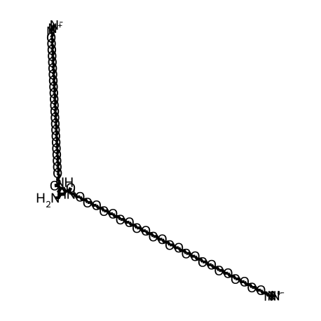 [N-]=[N+]=NCCOCCOCCOCCOCCOCCOCCOCCOCCOCCOCCOCCOCCOCCOCCOCCOCCOCCOCCOCCOCCOCCOCCOCCNC(=O)c1cc(CN)cc(C(=O)NCCOCOCOCOCOCOCOCOCOCOCOCOCOCOCOCOCOCOCOCOCOCOCOCN=[N+]=[N-])c1